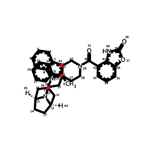 Cc1nc2ccccc2n1C1C[C@H]2CC[C@@H](C1)N2CCC1(c2ccccc2)CCN(C(=O)c2cccc3oc(=O)[nH]c23)CC1